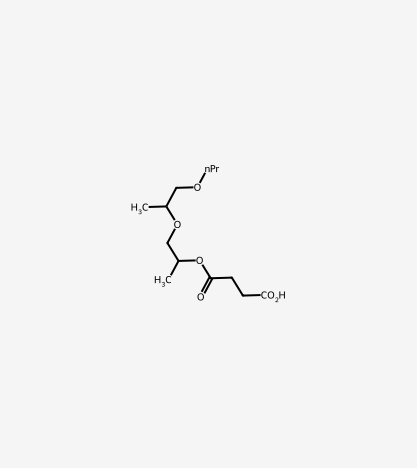 CCCOCC(C)OCC(C)OC(=O)CCC(=O)O